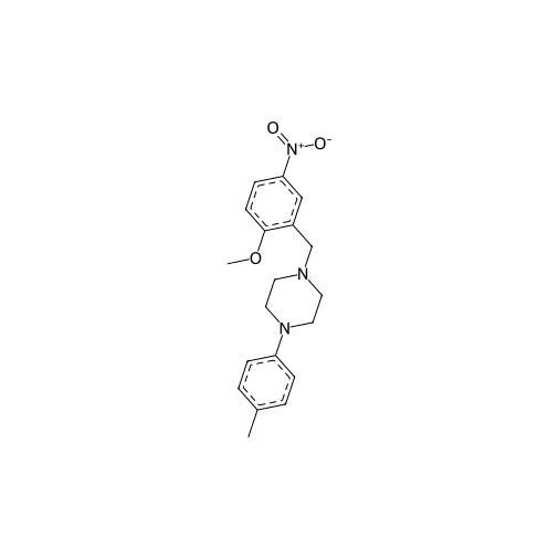 COc1ccc([N+](=O)[O-])cc1CN1CCN(c2ccc(C)cc2)CC1